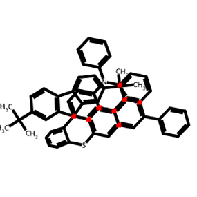 CC(C)(C)c1ccc2c(c1)C1(c3ccccc3Sc3ccc(-c4ccccc4N(c4ccccc4)c4ccccc4-c4ccc(-c5ccccc5)cc4)cc31)c1cc(C(C)(C)C)ccc1-2